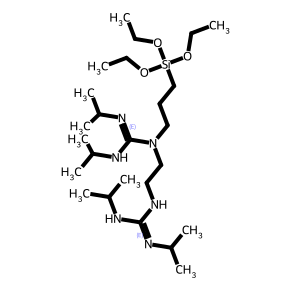 CCO[Si](CCCN(CCN/C(=N\C(C)C)NC(C)C)/C(=N/C(C)C)NC(C)C)(OCC)OCC